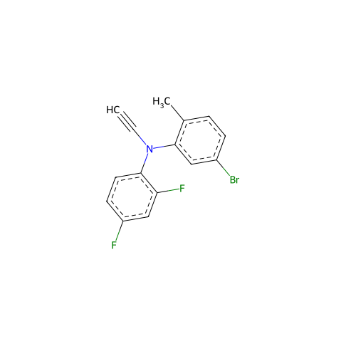 C#CN(c1cc(Br)ccc1C)c1ccc(F)cc1F